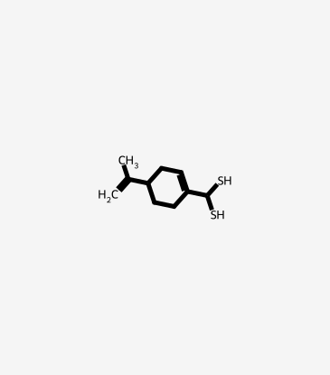 C=C(C)C1CC=C(C(S)S)CC1